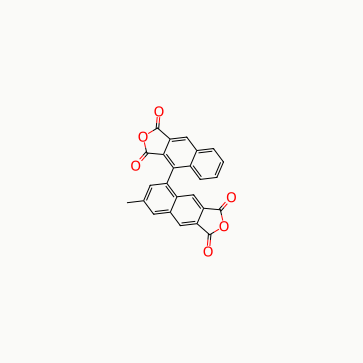 Cc1cc(-c2c3c(cc4ccccc24)C(=O)OC3=O)c2cc3c(cc2c1)C(=O)OC3=O